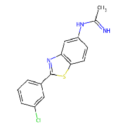 CC(=N)Nc1ccc2sc(-c3cccc(Cl)c3)nc2c1